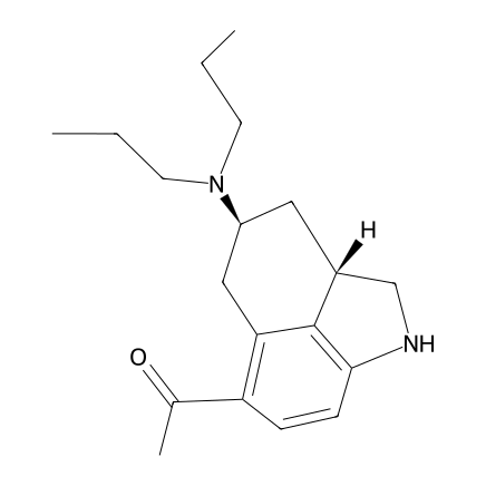 CCCN(CCC)[C@@H]1Cc2c(C(C)=O)ccc3c2[C@@H](CN3)C1